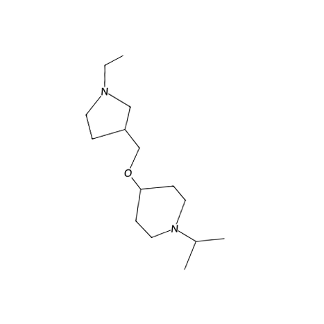 CCN1CCC(COC2CCN(C(C)C)CC2)C1